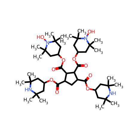 CC1(C)CC(OC(=O)C2CC(C(=O)OC3CC(C)(C)NC(C)(C)C3)C(C(=O)OC3CC(C)(C)N(O)C(C)(C)C3)C2C(=O)OC2CC(C)(C)N(O)C(C)(C)C2)CC(C)(C)N1